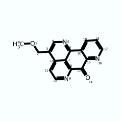 COCc1cnc2c3c(nccc13)C(=O)c1ncccc1-2